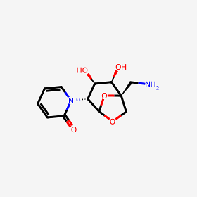 NC[C@@]12COC(O1)[C@H](n1ccccc1=O)[C@@H](O)[C@H]2O